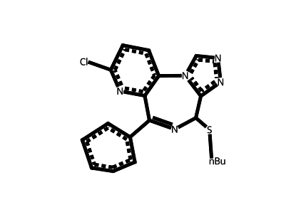 CCCCSC1N=C(c2ccccc2)c2nc(Cl)ccc2-n2cnnc21